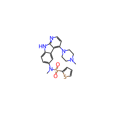 CN1CCN(c2ccnc3[nH]c4ccc(N(C)S(=O)(=O)c5cccs5)cc4c23)CC1